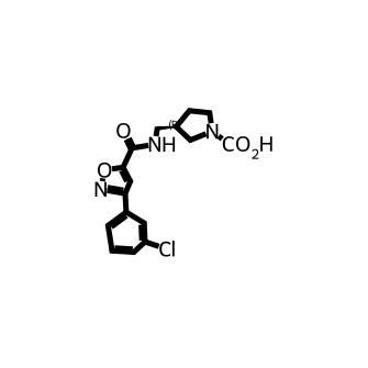 O=C(NC[C@H]1CCN(C(=O)O)C1)c1cc(-c2cccc(Cl)c2)no1